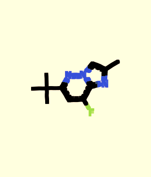 Cc1cn2nc(C(C)(C)C)cc(F)c2n1